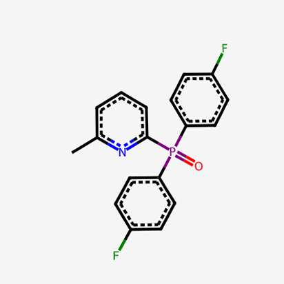 Cc1cccc(P(=O)(c2ccc(F)cc2)c2ccc(F)cc2)n1